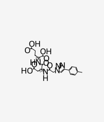 Cc1ccc(-c2cn(CC(=O)N[C@@H](CC(=O)O)C(=O)N[C@@H](CCC(=O)O)C(=O)O)nn2)cc1